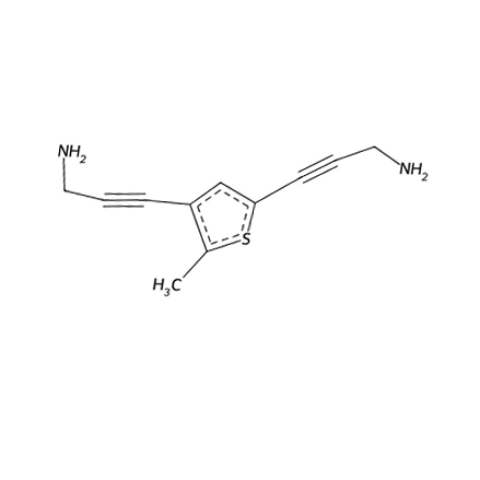 Cc1sc(C#CCN)cc1C#CCN